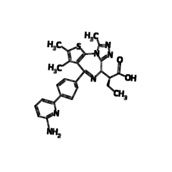 CC[C@H](C(=O)O)C1N=C(c2ccc(-c3cccc(N)n3)cc2)c2c(sc(C)c2C)-n2c(C)nnc21